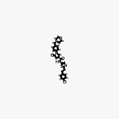 O=C(Nc1cnc(CCc2ccc(Cl)cc2)s1)[C@H]1CC(=O)N(c2ccc(CN3CCOCC3)cc2)C1